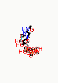 CC(=O)Nc1ccn([C@@H]2O[C@H](COP(=O)(O)OP(=O)(O)OP(=O)(O)O)[C@@H](O)[C@]2(O)F)c(=O)n1